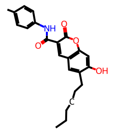 CCCCCCc1cc2cc(C(=O)Nc3ccc(C)cc3)c(=O)oc2cc1O